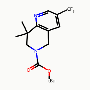 CC(C)(C)OC(=O)N1Cc2cc(C(F)(F)F)cnc2C(C)(C)C1